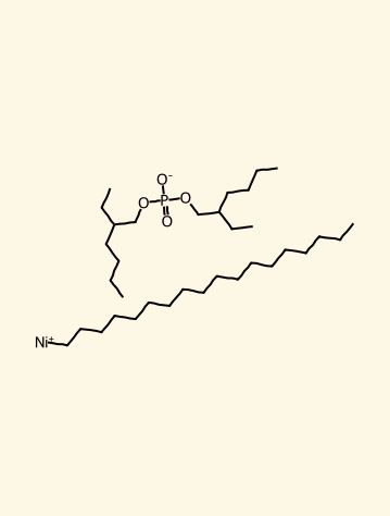 CCCCC(CC)COP(=O)([O-])OCC(CC)CCCC.CCCCCCCCCCCCCCCCC[CH2][Ni+]